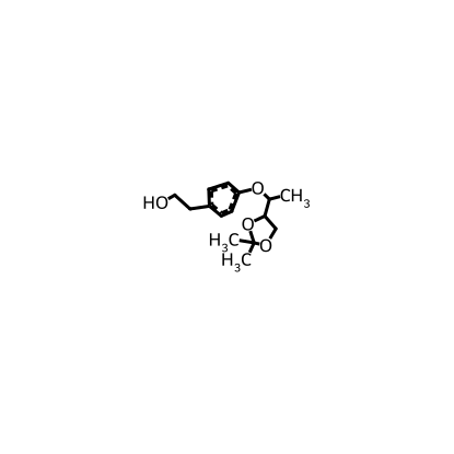 CC(Oc1ccc(CCO)cc1)C1COC(C)(C)O1